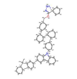 CC1(C)c2ccccc2-c2ccc(-c3ccc4c(c3)c3ccccc3n4-c3ccc(-c4ccccc4-c4ccccc4-c4ccc(COC(=NN)c5ccccc5)cc4)cc3)cc21